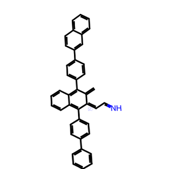 C=c1c(-c2ccc(-c3ccc4ccccc4c3)cc2)c2ccccc2c(-c2ccc(-c3ccccc3)cc2)/c1=C/C=N